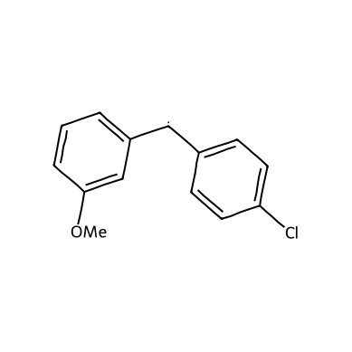 COc1cccc([CH]c2ccc(Cl)cc2)c1